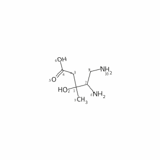 CC(O)(CC(=O)O)C(N)CN